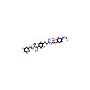 Nc1ccc(C[C@@H](O)CNCCc2ccc(NC(=O)OCc3ccccn3)cc2)cn1